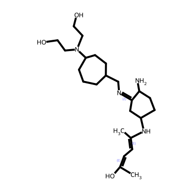 C/C(O)=C\C=C(/C)NC1CCC(N)/C(=N\CC2CCCC(N(CCO)CCO)CC2)C1